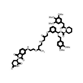 COc1ccc(CC[C@@H](OC(=O)[C@@H]2CCCCN2C(=O)Cc2cc(OC)c(OC)c(OC)c2)c2cccc(OCC(=O)CNCCC(C)OCCNc3ccc4c(c3)C(=O)N(C3CCC(=O)NC3=O)C4=O)c2)cc1OC